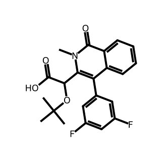 Cn1c(C(OC(C)(C)C)C(=O)O)c(-c2cc(F)cc(F)c2)c2ccccc2c1=O